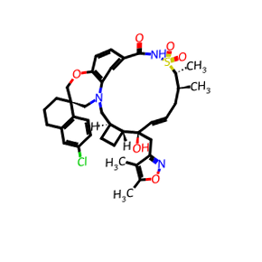 Cc1onc(C[C@@]2(O)/C=C/C[C@H](C)[C@@H](C)S(=O)(=O)NC(=O)c3ccc4c(c3)N(C[C@@H]3CC[C@H]32)C[C@@]2(CCCc3cc(Cl)ccc32)CO4)c1C